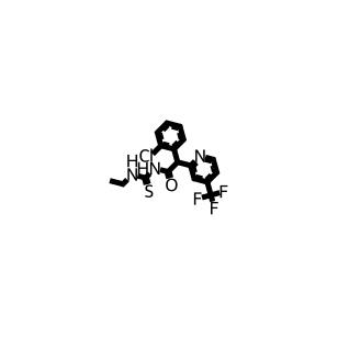 CCNC(=S)NC(=O)C(c1cc(C(F)(F)F)ccn1)c1ccccc1Cl